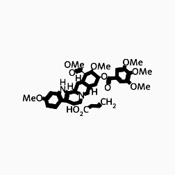 C=CCC(=O)O.COC(=O)[C@H]1[C@H]2C[C@@H]3c4[nH]c5cc(OC)ccc5c4CCN3C[C@H]2C[C@@H](OC(=O)c2cc(OC)c(OC)c(OC)c2)[C@@H]1OC